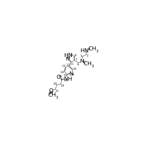 CNCCN(C)Cc1c[nH]nc1-c1ccc(NC(=O)CCCOC)nc1